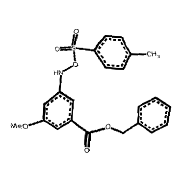 COc1cc(NOS(=O)(=O)c2ccc(C)cc2)cc(C(=O)OCc2ccccc2)c1